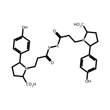 O=C(CCN1C(C(=O)O)CCC1c1ccc(O)cc1)SSC(=O)CCN1C(C(=O)O)CCC1c1ccc(O)cc1